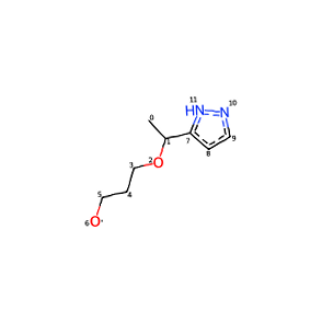 CC(OCCC[O])c1ccn[nH]1